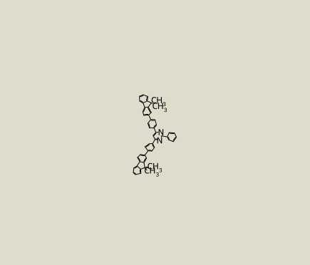 CC1(C)c2ccccc2-c2ccc(-c3ccc(-c4cc(-c5ccc(-c6ccc7c(c6)C(C)(C)c6ccccc6-7)cc5)nc(-c5ccccc5)n4)cc3)cc21